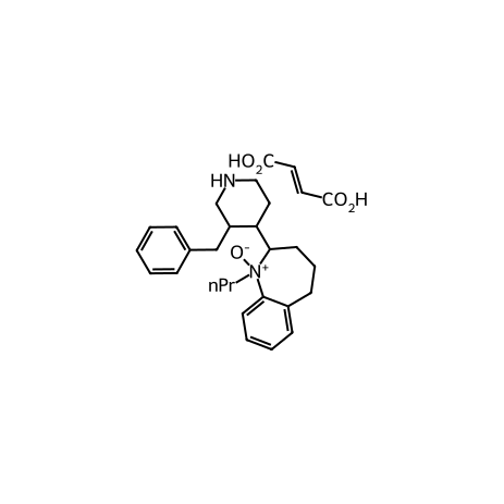 CCC[N+]1([O-])c2ccccc2CCCC1C1CCNCC1Cc1ccccc1.O=C(O)/C=C/C(=O)O